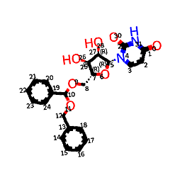 O=c1ccn([C@@H]2O[C@H](COC(OCc3ccccc3)c3ccccc3)[C@@H](O)[C@H]2O)c(=O)[nH]1